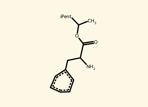 CCCC(C)C(C)OC(=O)C(N)Cc1ccccc1